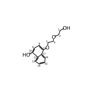 OCCOCCOc1ccc(O)c2ccccc12